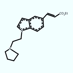 CCOC(=O)C=Cc1ccc2c(ccn2CCN2CCCC2)c1